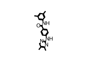 Cc1cc(C)cc(NC(=O)c2ccc(Nc3ncc(C)c(C)n3)cc2)c1